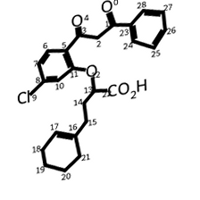 O=C(CC(=O)c1ccc(Cl)cc1OC(CCC1=CCCCC1)C(=O)O)c1ccccc1